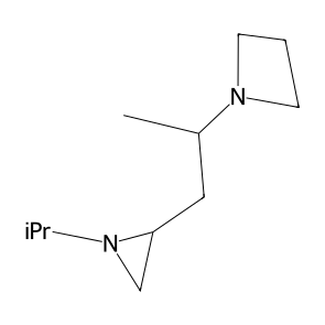 CC(CC1CN1C(C)C)N1CCC1